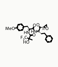 COc1ccc(C[C@H](NC(=O)C(C)(O)C(F)(F)F)C(=O)N[C@@H](CCc2ccccc2)C(=O)[C@H]2CO2)cc1